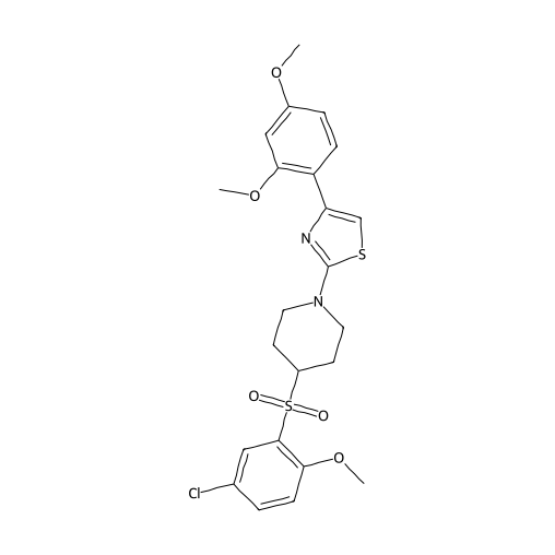 COc1ccc(-c2csc(N3CCC(S(=O)(=O)c4cc(Cl)ccc4OC)CC3)n2)c(OC)c1